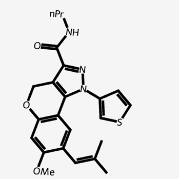 CCCNC(=O)c1nn(-c2ccsc2)c2c1COc1cc(OC)c(C=C(C)C)cc1-2